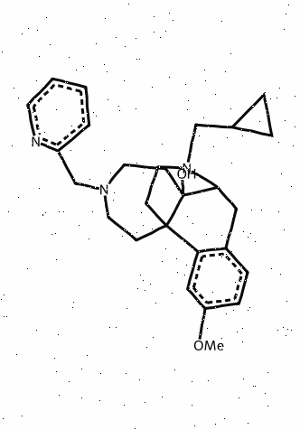 COc1ccc2c(c1)C13CCN(Cc4ccccn4)CCC1(O)C(C2)N(CC1CC1)CC3